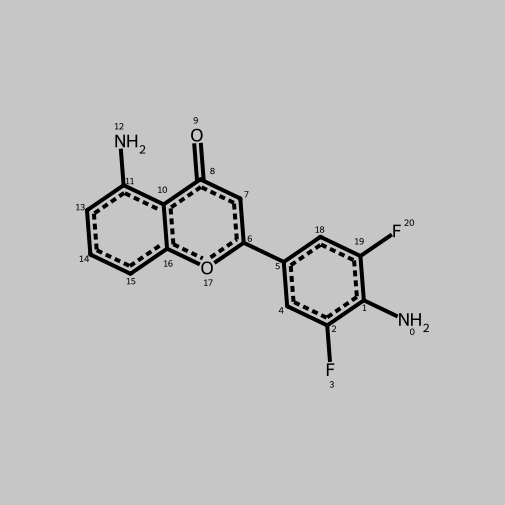 Nc1c(F)cc(-c2cc(=O)c3c(N)cccc3o2)cc1F